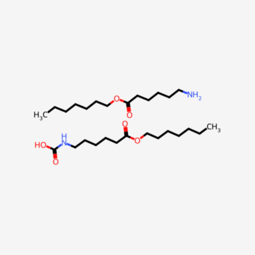 CCCCCCCOC(=O)CCCCCN.CCCCCCCOC(=O)CCCCCNC(=O)O